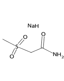 CS(=O)(=O)CC(N)=O.[NaH]